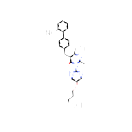 CCCCc1nc(C)n(-c2ncc(OCCCC(=O)O)cn2)c(=O)c1Cc1ccc(-c2ccccc2C#N)cc1